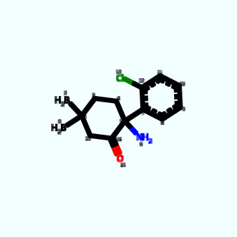 BC1(B)CCC(N)(c2ccccc2Cl)C(=O)C1